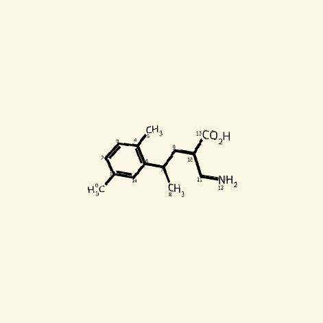 Cc1ccc(C)c(C(C)CC(CN)C(=O)O)c1